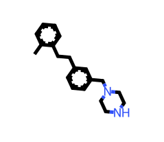 Cc1ccccc1CCc1cccc(CN2CCNCC2)c1